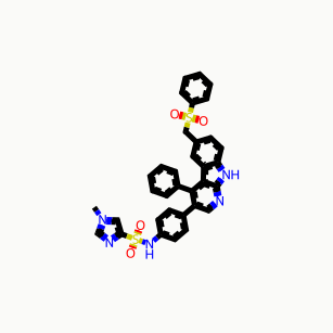 Cn1cnc(S(=O)(=O)Nc2ccc(-c3cnc4[nH]c5ccc(CS(=O)(=O)c6ccccc6)cc5c4c3-c3ccccc3)cc2)c1